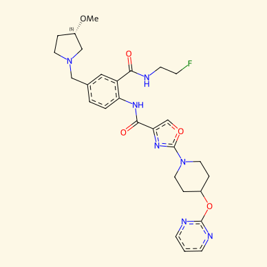 CO[C@H]1CCN(Cc2ccc(NC(=O)c3coc(N4CCC(Oc5ncccn5)CC4)n3)c(C(=O)NCCF)c2)C1